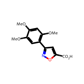 COc1cc(OC)c(-c2cc(C(=O)O)on2)cc1OC